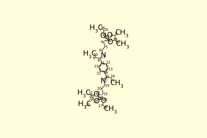 CCO[Si](CCC/N=C(\CC)c1ccc(/C(CC)=N/CCC[Si](OCC)(OCC)OCC)cc1)(OCC)OCC